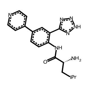 CC(C)C[C@@H](N)C(=O)Nc1ccc(-c2ccncc2)cc1-c1nn[nH]n1